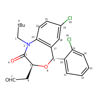 CC(C)(C)CN1C(=O)[C@H](CC=O)O[C@@H](c2ccccc2Cl)c2cc(Cl)ccc21